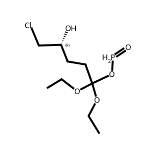 CCOC(CC[C@@H](O)CCl)(OCC)O[PH2]=O